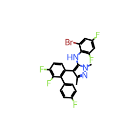 Cc1nn(C)c(Nc2c(F)cc(F)cc2Br)c1-c1ccc(F)c(F)c1-c1ccc(F)cc1